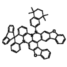 CC1(C)CCC(C)(C)c2cc(N3B4c5cccc6c5N(c5ccccc5C65c6ccccc6-c6ccccc65)c5cc6oc7ccccc7c6c(c54)-c4cc5c(cc43)oc3ccccc35)ccc21